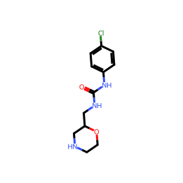 O=C(NCC1CNCCO1)Nc1ccc(Cl)cc1